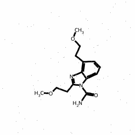 COCCc1cccc2c1nc(CCOC)n2C(N)=O